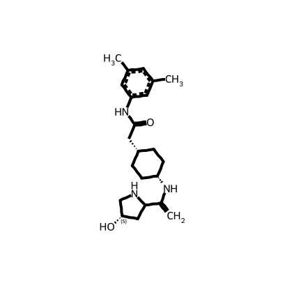 C=C(N[C@H]1CC[C@@H](CC(=O)Nc2cc(C)cc(C)c2)CC1)C1C[C@H](O)CN1